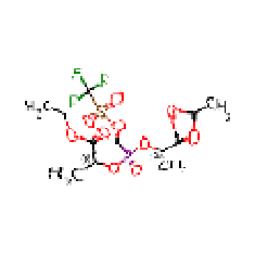 CCOC(=O)[C@H](C)OP(=O)(COS(=O)(=O)C(F)(F)F)O[C@@H](C)C1OC(C)O1